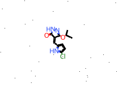 CC(C)OC1=NNC(=O)/C1=C/c1ccc(Cl)[nH]1